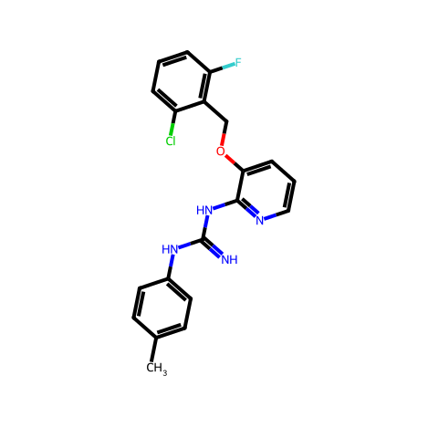 Cc1ccc(NC(=N)Nc2ncccc2OCc2c(F)cccc2Cl)cc1